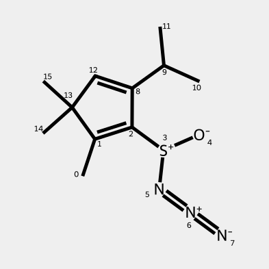 CC1=C([S+]([O-])N=[N+]=[N-])C(C(C)C)=CC1(C)C